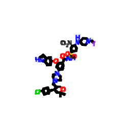 CC1(C)CC(c2ccc(Cl)cc2)=C(CN2CCN(c3ccc(C(=O)NS(=O)(=O)c4ccc(NC5CCN(CI)CC5)c([N+](=O)[O-])c4)c(Oc4ccc5[nH]ccc5c4)c3)CC2)CO1